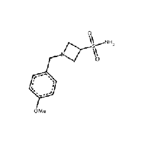 COc1ccc(CN2CC(S(N)(=O)=O)C2)cc1